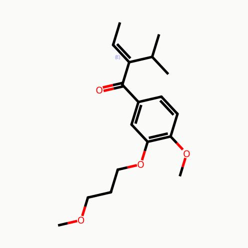 C/C=C(/C(=O)c1ccc(OC)c(OCCCOC)c1)C(C)C